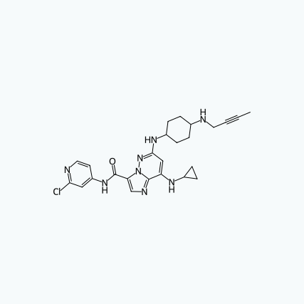 CC#CCNC1CCC(Nc2cc(NC3CC3)c3ncc(C(=O)Nc4ccnc(Cl)c4)n3n2)CC1